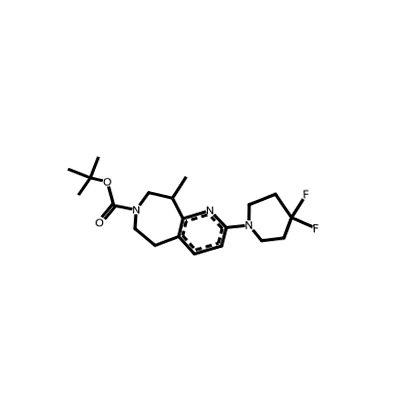 CC1CN(C(=O)OC(C)(C)C)CCc2ccc(N3CCC(F)(F)CC3)nc21